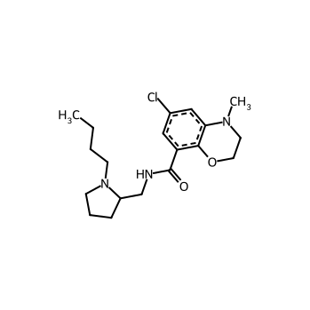 CCCCN1CCCC1CNC(=O)c1cc(Cl)cc2c1OCCN2C